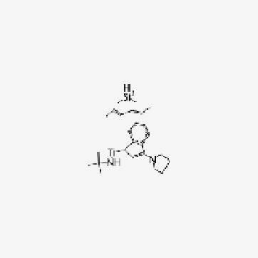 CC(C)(C)[NH][Ti][CH]1C=C(N2CCCC2)c2ccccc21.CC=CC=CC.C[SiH2]C